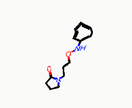 O=C1CCCN1CCCONc1ccccc1